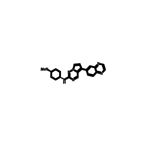 CN[C@H]1CC[C@H](Nc2ncc3c(-c4ccc5nccnc5c4)ccn3n2)CC1